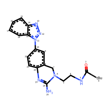 CC(C)(C)C(=O)NCCN1Cc2cc(-n3nnc4ccccc43)ccc2N=C1N